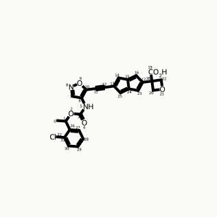 CC(OC(=O)Nc1cnoc1C#CC1=CC2=CC(C3(C(=O)O)COC3)=CC2=C1)c1ccccc1Cl